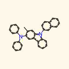 Cc1cc2c(cc1N(c1ccccc1)c1ccccc1)c1ccccc1n2-c1ccc2ccccc2c1